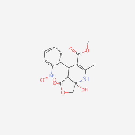 COC(=O)C1=C(C)NC2(O)COC(=O)C2C1c1ccccc1[N+](=O)[O-]